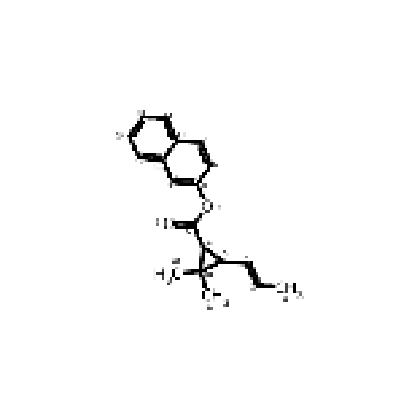 CC=CC1C(C(=O)Oc2ccc3ccccc3c2)C1(C)C